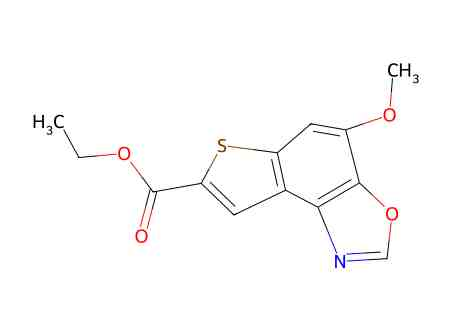 CCOC(=O)c1cc2c(cc(OC)c3ocnc32)s1